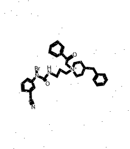 N#Cc1cccc(N(Br)C(=O)NCCC[N+]2(CC(=O)c3ccccc3)CCC(Cc3ccccc3)CC2)c1